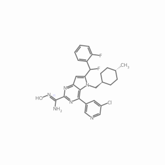 C[C@H]1CC[C@H](Cn2c(C(F)c3ccccc3F)cc3nc(/C(N)=N/O)nc(-c4cncc(Cl)c4)c32)CC1